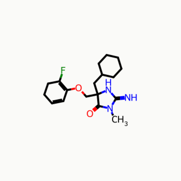 CN1C(=N)NC(COC2=C(F)CCC=C2)(CC2CCCCC2)C1=O